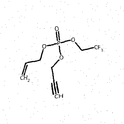 C#CCOP(=O)(OCC=C)OCC(F)(F)F